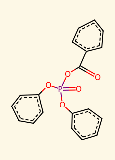 O=C(OP(=O)(Oc1ccccc1)Oc1ccccc1)c1ccccc1